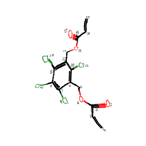 C=CC(=O)OCc1c(Cl)c(Cl)c(Cl)c(COC(=O)C=C)c1Cl